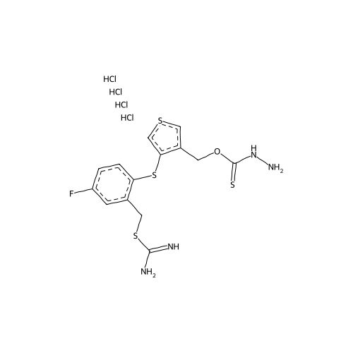 Cl.Cl.Cl.Cl.N=C(N)SCc1cc(F)ccc1Sc1cscc1COC(=S)NN